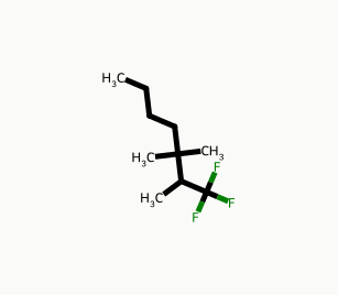 CCCCC(C)(C)C(C)C(F)(F)F